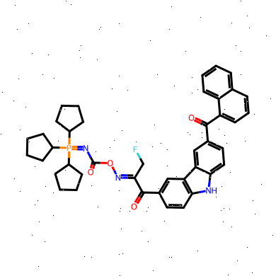 O=C(N=P(C1CCCC1)(C1CCCC1)C1CCCC1)O/N=C(\CF)C(=O)c1ccc2[nH]c3ccc(C(=O)c4cccc5ccccc45)cc3c2c1